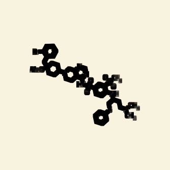 COC1(Cc2ccccc2Br)CCC(N2CCc3c(ncnc3NS(=O)(=O)c3ccc(NC(CCN(C)C)CSc4ccccc4)c(S(=O)(=O)C(F)(F)F)c3)C2)CC1